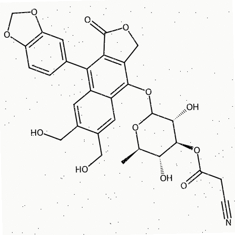 C[C@H]1OC(Oc2c3c(c(-c4ccc5c(c4)OCO5)c4cc(CO)c(CO)cc24)C(=O)OC3)[C@H](O)[C@@H](OC(=O)CC#N)[C@@H]1O